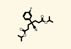 CC(C)OC(=O)CCC(C#N)(CCC(=O)OC(C)C)c1cccc(F)c1